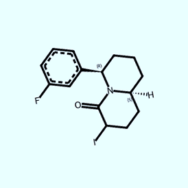 O=C1C(I)CC[C@@H]2CCC[C@H](c3cccc(F)c3)N12